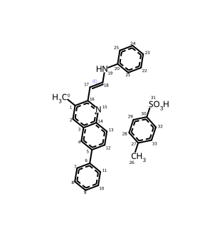 Cc1cc2cc(-c3ccccc3)ccc2nc1/C=C/Nc1ccccc1.Cc1ccc(S(=O)(=O)O)cc1